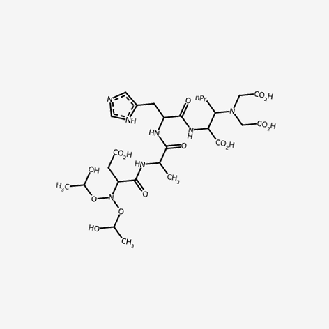 CCCC(C(NC(=O)C(Cc1cnc[nH]1)NC(=O)C(C)NC(=O)C(CC(=O)O)N(OC(C)O)OC(C)O)C(=O)O)N(CC(=O)O)CC(=O)O